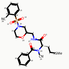 CSCC[C@@H](C(=O)NCC1CN(S(=O)(=O)c2ccccc2C#N)CCO1)N(C#N)C(=O)c1ccccc1